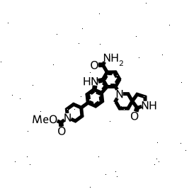 COC(=O)N1CCC(c2ccc3c(c2)[nH]c2c(C(N)=O)ccc(N4CCCC5(CCNC5=O)C4)c23)CC1